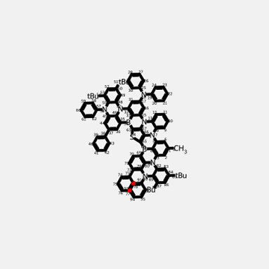 Cc1cc2c3c(c1)N1c4ccccc4N4c5cc(N(c6ccccc6)c6ccccc6)cc6c5B(c5cc(-c7ccccc7)cc7c5N6c5cc(C(C)(C)C)cc(C(C)(C)C)c5N7c5ccccc5)c5sc(c1c54)B3c1ccc(-c3ccccc3)c3c1N2c1cc(C(C)(C)C)cc(C(C)(C)C)c1N3c1ccccc1